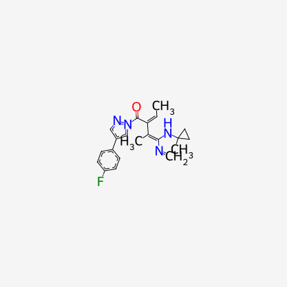 C=N/C(NC1(C)CC1)=C(C)/C(=C/C)C(=O)n1cc(-c2ccc(F)cc2)cn1